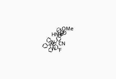 COC(=O)[C@H]1C2CCC(CC2)[C@@H]1Nc1cc(-c2nn(C(c3ccccc3)(c3ccccc3)c3ccccc3)c3ncc(F)cc23)c(C#N)cc1F